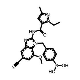 CCn1nc(C)cc1C(=O)Nc1nc2cc(C#N)cc(OC)c2n1Cc1ccc(B(O)O)cc1